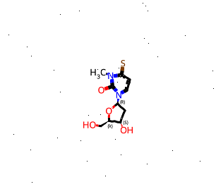 Cn1c(=S)ccn([C@H]2C[C@H](O)[C@@H](CO)O2)c1=O